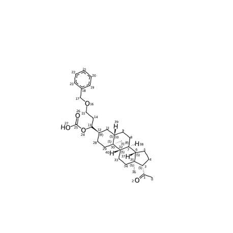 CC(=O)[C@H]1CC[C@H]2[C@@H]3CC[C@H]4C[C@H](C(CCOCc5ccccc5)OC(=O)O)CC[C@]4(C)[C@H]3CC[C@]12C